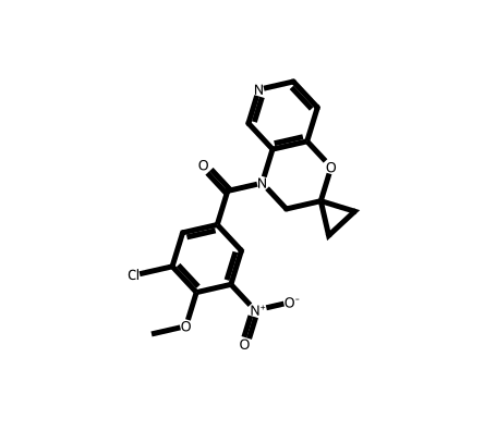 COc1c(Cl)cc(C(=O)N2CC3(CC3)Oc3ccncc32)cc1[N+](=O)[O-]